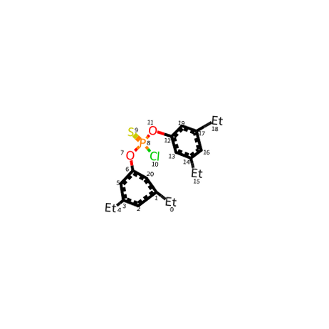 CCc1cc(CC)cc(OP(=S)(Cl)Oc2cc(CC)cc(CC)c2)c1